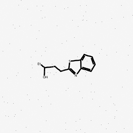 CCC(O)CCc1nc2ccccc2s1